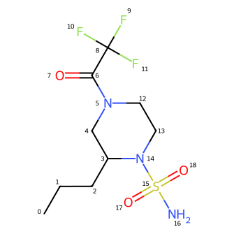 CCCC1CN(C(=O)C(F)(F)F)CCN1S(N)(=O)=O